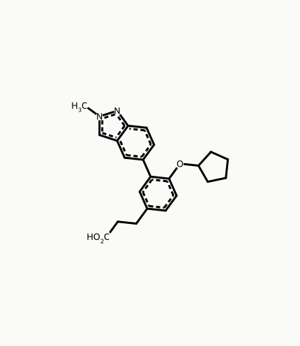 Cn1cc2cc(-c3cc(CCC(=O)O)ccc3OC3CCCC3)ccc2n1